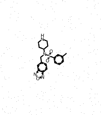 Cc1cccc(S(=O)(=O)N(Cc2ccc3nonc3c2)C2CCNCC2)c1